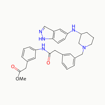 COC(=O)Cc1cccc(NC(=O)Cc2cccc(CN3CCCC(Nc4ccc5[nH]ncc5c4)C3)c2)c1